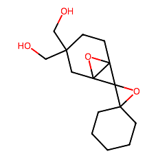 OCC1(CO)CCC23OC2(C1)C31OC12CCCCC2